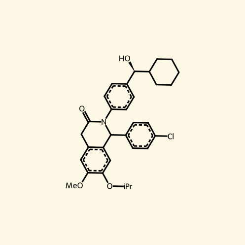 COc1cc2c(cc1OC(C)C)C(c1ccc(Cl)cc1)N(c1ccc([C@@H](O)C3CCCCC3)cc1)C(=O)C2